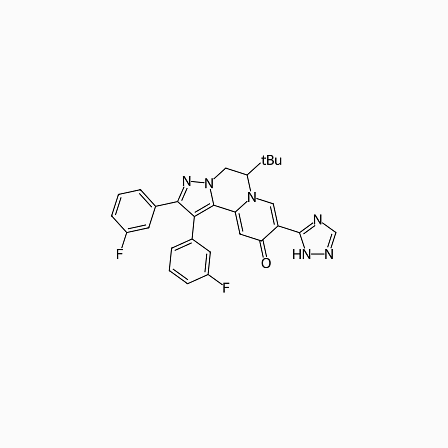 CC(C)(C)C1Cn2nc(-c3cccc(F)c3)c(-c3cccc(F)c3)c2-c2cc(=O)c(-c3ncn[nH]3)cn21